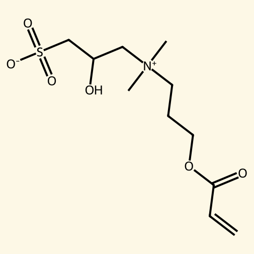 C=CC(=O)OCCC[N+](C)(C)CC(O)CS(=O)(=O)[O-]